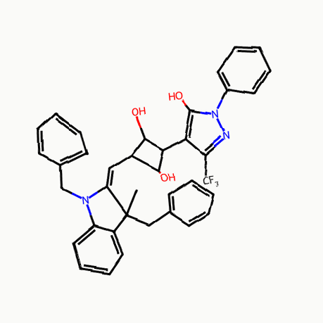 CC1(Cc2ccccc2)C(=CC2C(O)C(c3c(C(F)(F)F)nn(-c4ccccc4)c3O)C2O)N(Cc2ccccc2)c2ccccc21